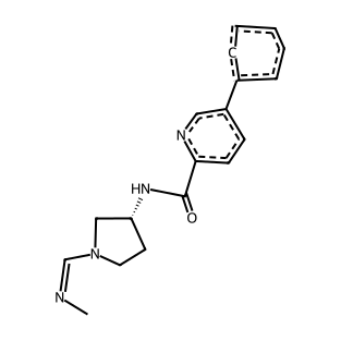 C/N=C\N1CC[C@@H](NC(=O)c2ccc(-c3ccccc3)cn2)C1